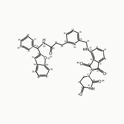 O=C1CCC(N2C(=O)c3cccc(NCc4cccc(CCC(=O)NC(c5cccnc5)c5cc6ccccc6o5)n4)c3C2=O)C(=O)N1